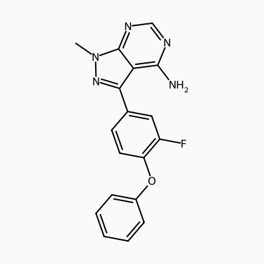 Cn1nc(-c2ccc(Oc3ccccc3)c(F)c2)c2c(N)ncnc21